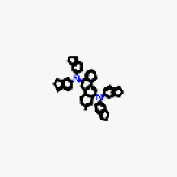 Cc1ccc2c(c1)c(N(c1ccc3c(c1)CCC3)c1ccc3c(c1)CCC3)cc1c3ccccc3c(N(c3ccc4c(c3)CCC4)c3ccc4c(c3)CCC4)cc21